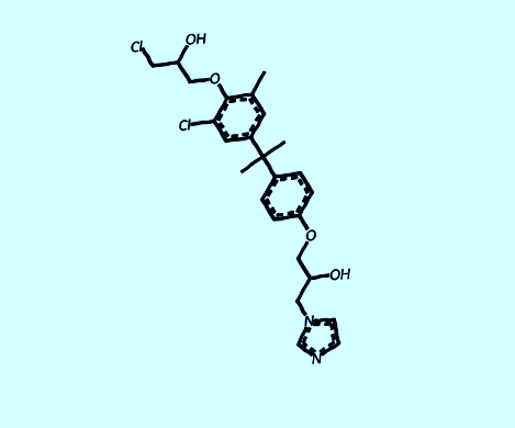 Cc1cc(C(C)(C)c2ccc(OCC(O)Cn3ccnc3)cc2)cc(Cl)c1OCC(O)CCl